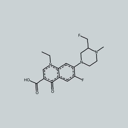 CCn1cc(C(=O)O)c(=O)c2cc(F)c(N3CCN(C)C(CF)C3)cc21